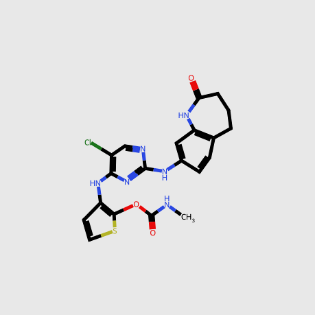 CNC(=O)Oc1sccc1Nc1nc(Nc2ccc3c(c2)NC(=O)CCC3)ncc1Cl